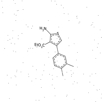 CCOC(=O)c1c(-c2ccc(C)c(C)c2)csc1N